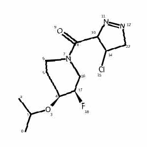 CC(C)O[C@H]1CCN(C(=O)C2N=NCC2Cl)C[C@H]1F